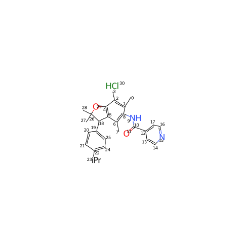 Cc1c(C)c2c(c(C)c1NC(=O)c1ccncc1)C(c1ccc(C(C)C)cc1)C(C)(C)O2.Cl